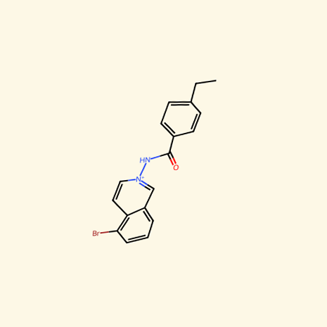 CCc1ccc(C(=O)N[n+]2ccc3c(Br)cccc3c2)cc1